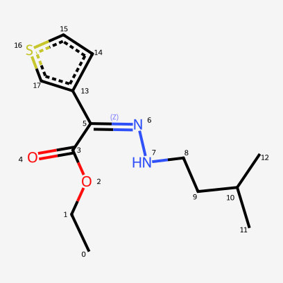 CCOC(=O)/C(=N\NCCC(C)C)c1ccsc1